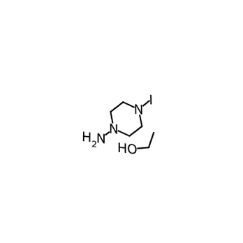 CCO.NN1CCN(I)CC1